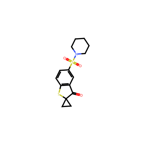 O=C1c2cc(S(=O)(=O)N3CCCCC3)ccc2SC12CC2